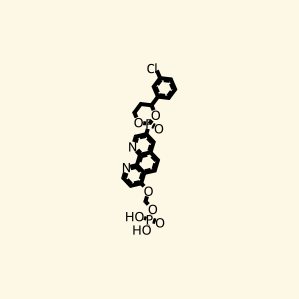 O=P(O)(O)OCOc1ccnc2c1ccc1cc(P3(=O)OCCC(c4cccc(Cl)c4)O3)cnc12